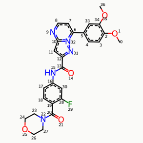 COc1ccc(-c2ccnc3cc(C(=O)Nc4ccc(C(=O)N5CCOCC5)c(F)c4)nn23)cc1OC